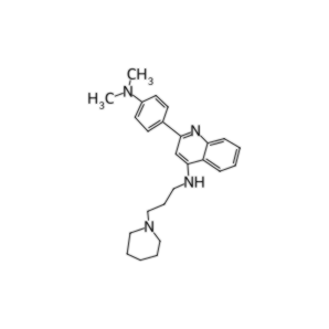 CN(C)c1ccc(-c2cc(NCCCN3CCCCC3)c3ccccc3n2)cc1